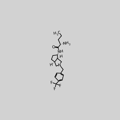 CCC[C@H](N)C(=O)N[C@H]1CC[C@@H]2CN(Cc3ccc(C(F)(F)F)cc3)C[C@@H]21